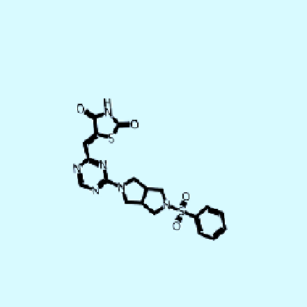 O=C1NC(=O)C(=Cc2ncnc(N3CC4CN(S(=O)(=O)c5ccccc5)CC4C3)n2)S1